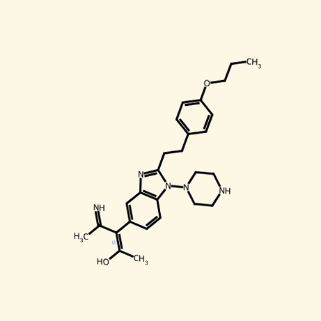 CCCOc1ccc(CCc2nc3cc(/C(C(C)=N)=C(\C)O)ccc3n2N2CCNCC2)cc1